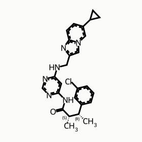 C[C@H](C(=O)Nc1cc(NCc2cn3cc(C4CC4)ccc3n2)ncn1)[C@@H](C)c1cccc(Cl)c1